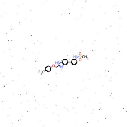 CS(=O)(=O)Nc1cccc(-c2ccc3[nH]c(COc4ccc(C(F)(F)F)cc4)nc3c2)c1